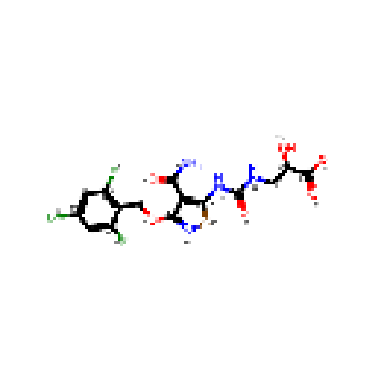 NC(=O)c1c(OCc2c(F)cc(Br)cc2F)nsc1NC(=O)NCC(O)C(=O)O